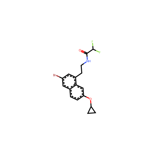 O=C(NCCc1cc(Br)cc2ccc(OC3CC3)cc12)C(F)F